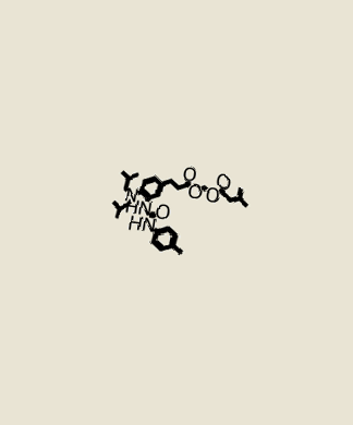 Cc1ccc(NC(=O)Nc2cc(CCC(=O)OCOC(=O)CC(C)C)ccc2N(CC(C)C)CC(C)C)cc1